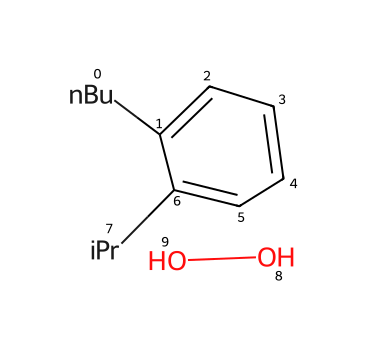 CCCCc1ccccc1C(C)C.OO